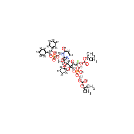 CC(C)OC(=O)OCOP(=O)(OCOC(=O)OC(C)C)OC1[C@]23OC4(CCCC4)O[C@@]2(C)[C@H](n2ccc(=O)n(COP(=O)(OCc4ccccc4)OCc4ccccc4)c2=O)O[C@]13CF